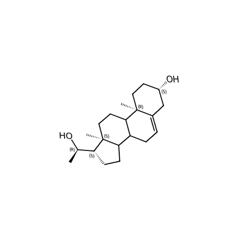 C[C@@H](O)[C@H]1CCC2C3CC=C4C[C@@H](O)CC[C@]4(C)C3CC[C@@]21C